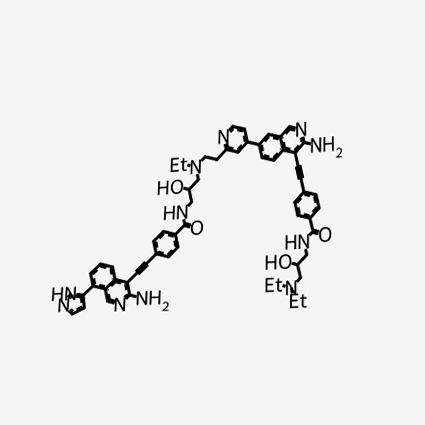 CCN(CC)CC(O)CNC(=O)c1ccc(C#Cc2c(N)ncc3cc(-c4ccnc(CCN(CC)CC(O)CNC(=O)c5ccc(C#Cc6c(N)ncc7c(-c8ccn[nH]8)cccc67)cc5)c4)ccc23)cc1